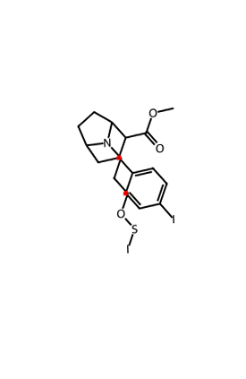 COC(=O)C1C(c2ccc(I)cc2)CC2CCC1N2CCCOSI